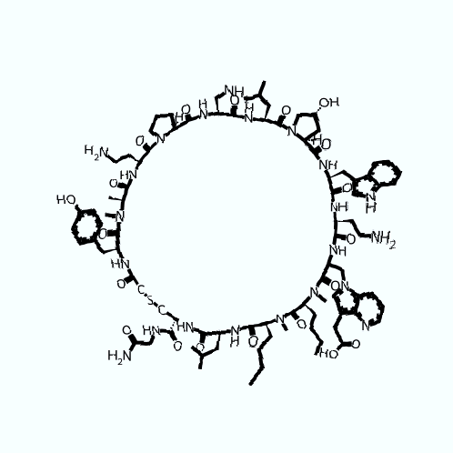 CCCC[C@H]1C(=O)N(C)[C@@H](CCCC)C(=O)N[C@@H](CC(C)C)C(=O)N[C@H](C(=O)NCC(N)=O)CSCC(=O)N[C@@H](Cc2ccc(O)cc2)C(=O)N(C)[C@@H](C)C(=O)N[C@@H](CCN)C(=O)N2CCC[C@H]2C(=O)N[C@@H](CN)C(=O)N[C@@H](CC(C)C)C(=O)N2C[C@H](O)C[C@H]2C(=O)N[C@@H](Cc2c[nH]c3ccccc23)C(=O)N[C@@H](CCN)C(=O)NC(Cn2cc(CC(=O)O)c3ncccc32)C(=O)N1C